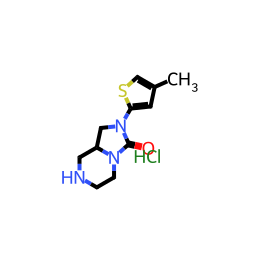 Cc1csc(N2CC3CNCCN3C2=O)c1.Cl